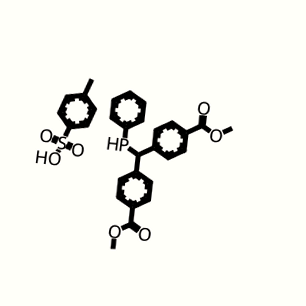 COC(=O)c1ccc(C(Pc2ccccc2)c2ccc(C(=O)OC)cc2)cc1.Cc1ccc(S(=O)(=O)O)cc1